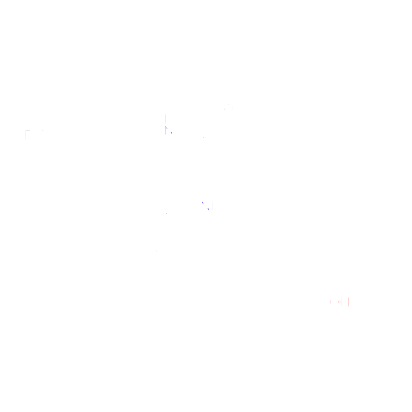 O=C1N[C@@H](Cc2ccc(O)c(O)c2)C(=O)Nc2cc(C(F)(F)F)ccc21